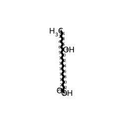 CCCCCCCC(O)CCCCCCCCCCCCCCC(=O)O